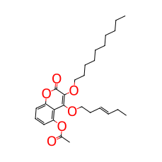 CCC=CCCOc1c(OCCCCCCCCCC)c(=O)oc2cccc(OC(C)=O)c12